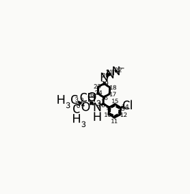 CC(C)(C)OC(=O)NC(c1cccc(Cl)c1)C1CCC(N=[N+]=[N-])CC1